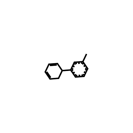 Cc1cccc(C2C=CC=CC2)c1